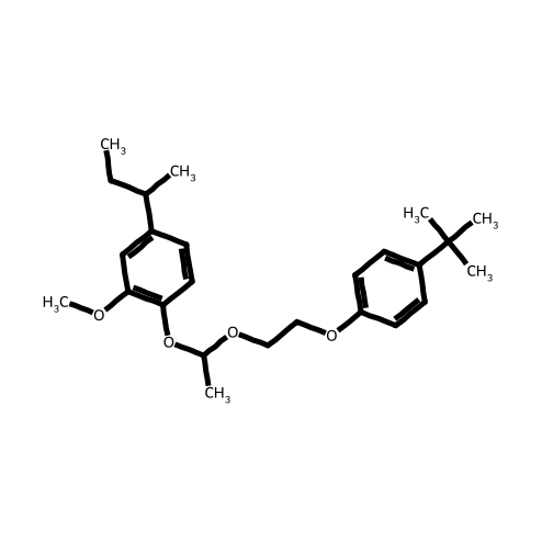 CCC(C)c1ccc(OC(C)OCCOc2ccc(C(C)(C)C)cc2)c(OC)c1